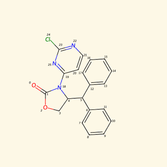 O=C1OCC(C(c2ccccc2)c2ccccc2)N1c1ccnc(Cl)n1